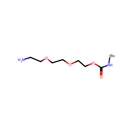 CC(C)(C)NC(=O)OCCOCCOCCN